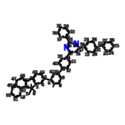 CC1(C)c2cc(-c3cccc(-c4ccc(-c5cc(-c6ccc(-c7ccccc7)cc6)nc(-c6ccccc6)n5)cc4)c3)ccc2-c2ccc3ccccc3c21